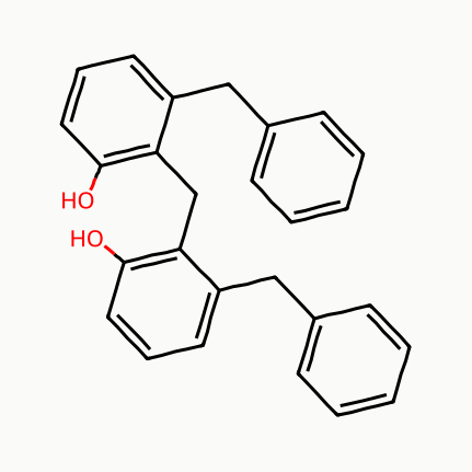 Oc1cccc(Cc2ccccc2)c1Cc1c(O)cccc1Cc1ccccc1